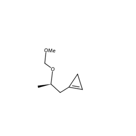 COCO[C@H](C)CC1=CC1